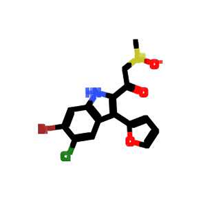 C[S+]([O-])CC(=O)c1[nH]c2cc(Br)c(Cl)cc2c1-c1ccco1